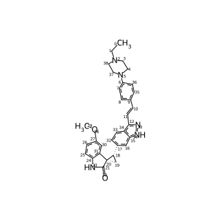 CCN1CCN(c2ccc(C=Cc3n[nH]c4cc([C@@H]5C[C@@]56C(=O)Nc5ccc(OC)cc56)ccc34)cc2)CC1